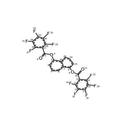 O=C(Oc1cccc2c(OC(=O)c3c(F)c(F)c(F)c(F)c3F)cccc12)c1c(F)c(F)c(F)c(F)c1F